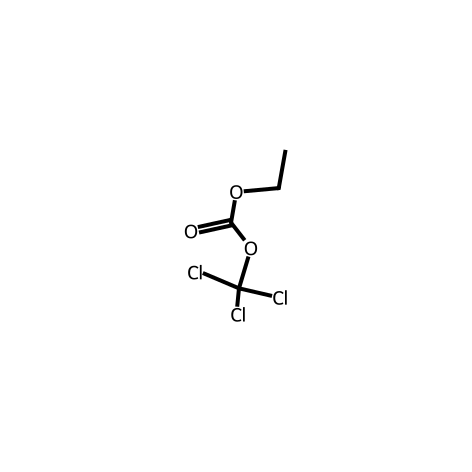 CCOC(=O)OC(Cl)(Cl)Cl